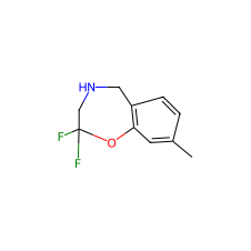 Cc1ccc2c(c1)OC(F)(F)CNC2